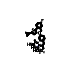 CN(C)C(=N)N/C(N)=N/C(CC(=O)O)Cc1ccc(OCc2cc(F)ccc2-c2ccc(C3CC3)s2)cc1